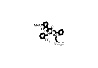 CCOC(=O)CCCNC(Cn1c(=O)c(-c2cccc(OC)c2Cl)c(C)n(Cc2c(F)cccc2C(F)(F)F)c1=O)c1ccccc1